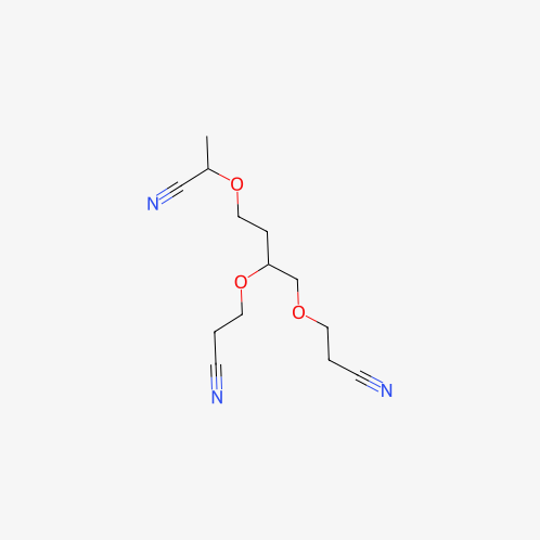 CC(C#N)OCCC(COCCC#N)OCCC#N